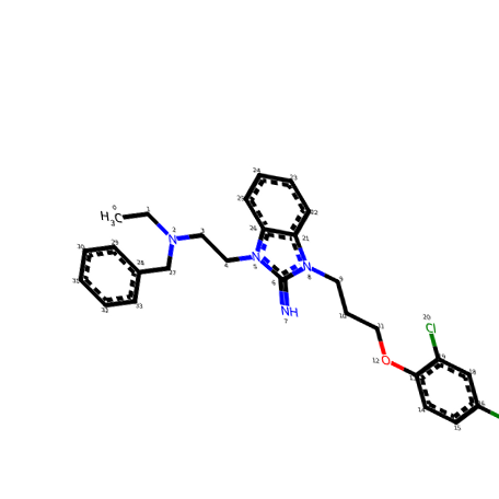 CCN(CCn1c(=N)n(CCCOc2ccc(Cl)cc2Cl)c2ccccc21)Cc1ccccc1